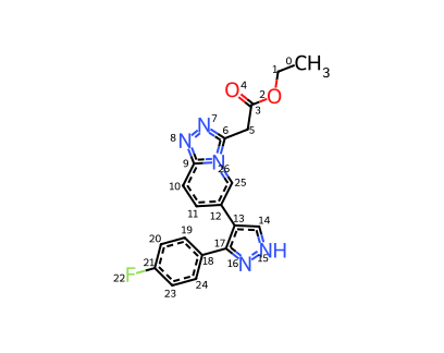 CCOC(=O)Cc1nnc2ccc(-c3c[nH]nc3-c3ccc(F)cc3)cn12